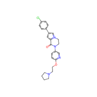 O=C1c2cc(-c3ccc(Cl)cc3)cn2CCN1c1ccc(OCCN2CCCC2)nc1